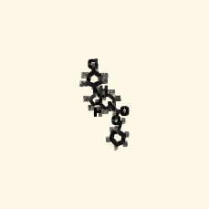 O=C(OCc1ccccc1)N1CC[C@H]2[C@H](CCN2c2ccc(Cl)cc2)C1